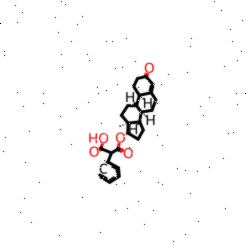 C[C@]12CC[C@H]3[C@@H](CCC4=CC(=O)CC[C@@H]43)[C@@H]1CC[C@@H]2OC(=O)C(C(=O)O)c1ccccc1